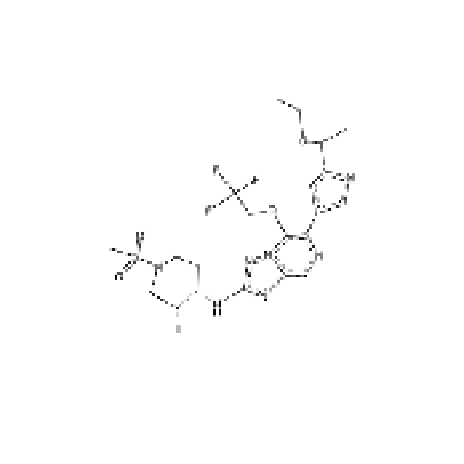 CCOC(C)n1cc(-c2ncc3nc(N[C@H]4CCN(S(C)(=O)=O)C[C@H]4C)nn3c2OCC(F)(F)F)cn1